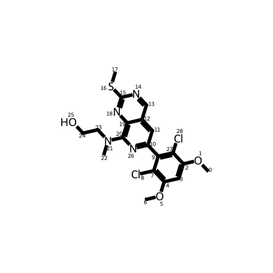 COc1cc(OC)c(Cl)c(-c2cc3cnc(SC)nc3c(N(C)CCO)n2)c1Cl